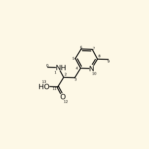 CNC(Cc1cccc(C)n1)C(=O)O